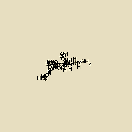 NCCNCCNCCNc1nc(Nc2cccc(S(=O)(=O)O)c2)nc(Nc2ccc3cc(S(=O)(=O)O)c(/N=N/c4ccc(/N=N/c5ccc(S(=O)(=O)O)cc5)c5ccc(S(=O)(=O)O)cc45)c(O)c3c2)n1